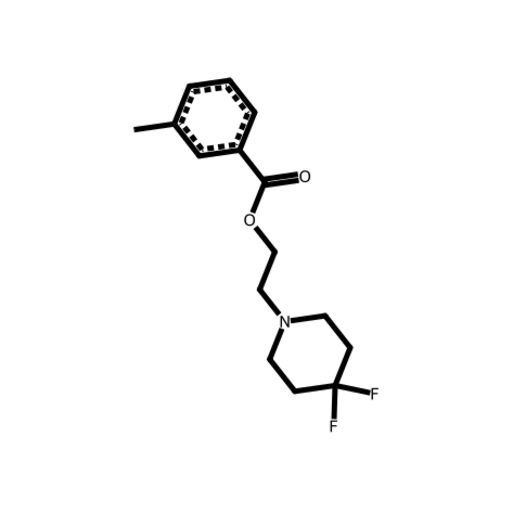 Cc1cccc(C(=O)OCCN2CCC(F)(F)CC2)c1